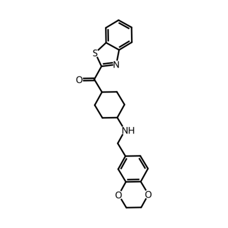 O=C(c1nc2ccccc2s1)C1CCC(NCc2ccc3c(c2)OCCO3)CC1